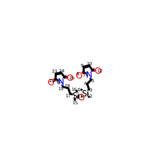 C[Si](C)(CCCN1C(=O)C=CC1=O)O[Si](C)(C)CCCN1C(=O)C=CC1=O